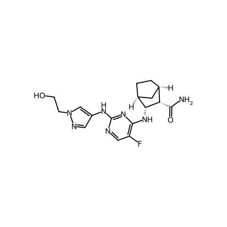 NC(=O)[C@H]1[C@@H]2CC[C@@H](C2)[C@H]1Nc1nc(Nc2cnn(CCO)c2)ncc1F